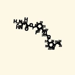 N=C(N)NC(=O)OCc1cccc(N2CC(OCc3ccnc(C4CC4)c3)C2)c1F